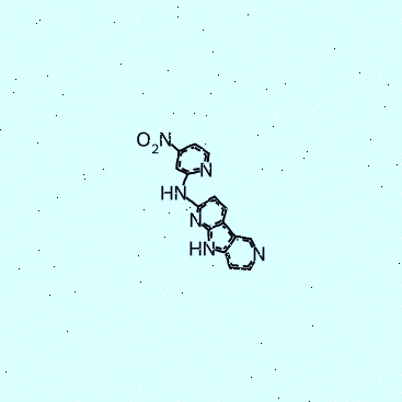 O=[N+]([O-])c1ccnc(Nc2ccc3c(n2)[nH]c2ccncc23)c1